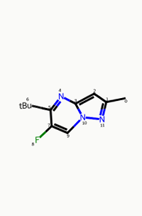 Cc1cc2nc(C(C)(C)C)c(F)cn2n1